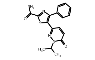 CC(C)n1nc(-c2sc(C(N)=O)nc2-c2ccccc2)ccc1=O